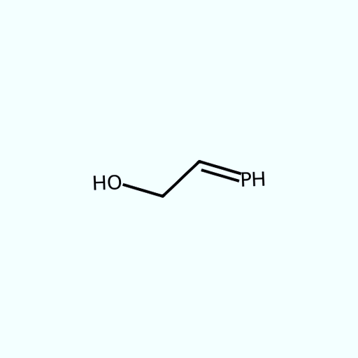 OCC=P